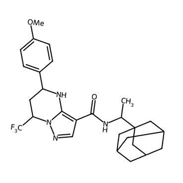 COc1ccc(C2CC(C(F)(F)F)n3ncc(C(=O)NC(C)C45CC6CC(CC(C6)C4)C5)c3N2)cc1